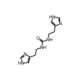 O=C(NCCc1c[nH]cn1)NCCc1c[nH]cn1